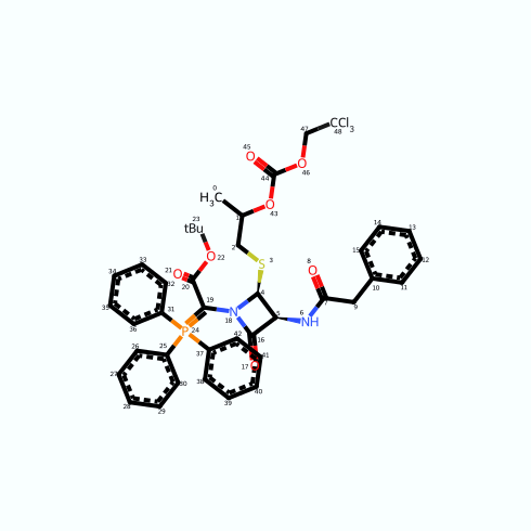 CC(CS[C@H]1[C@@H](NC(=O)Cc2ccccc2)C(=O)N1C(C(=O)OC(C)(C)C)=P(c1ccccc1)(c1ccccc1)c1ccccc1)OC(=O)OCC(Cl)(Cl)Cl